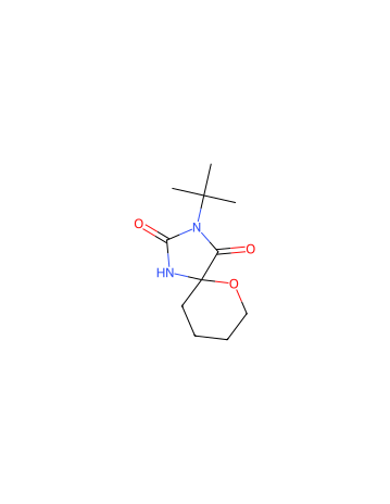 CC(C)(C)N1C(=O)NC2(CCCCO2)C1=O